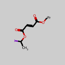 CC(C)OC(=O)/C=C/C(=O)OC(C)I